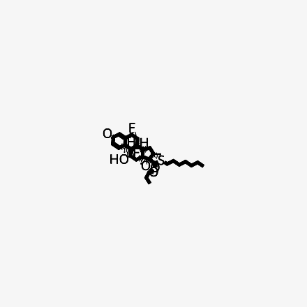 CCCCCCCSC(=O)[C@@]1(OC(=O)CC)[C@H](C)C[C@H]2[C@@H]3C[C@H](F)C4=CC(=O)C=C[C@]4(C)[C@@]3(F)[C@@H](O)C[C@@]21C